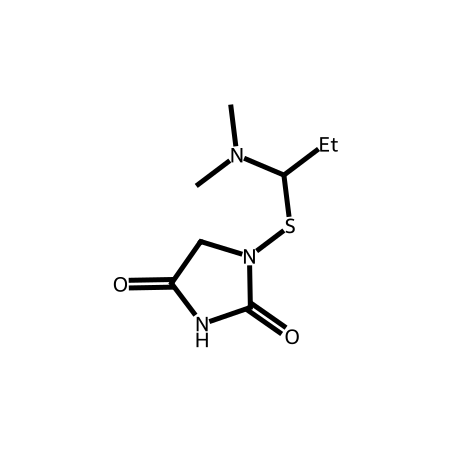 CCC(SN1CC(=O)NC1=O)N(C)C